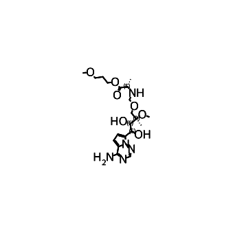 COCCCOC(=O)[C@H](C)NCOC[C@@](C)(OC)[C@@H](O)[C@@H](O)c1ccc2c(N)ncnn12